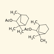 CC(=O)OC1C2(C)CCC(C2)C1(C)C.CC(=O)OC1C2(C)CCC(C2)C1(C)C